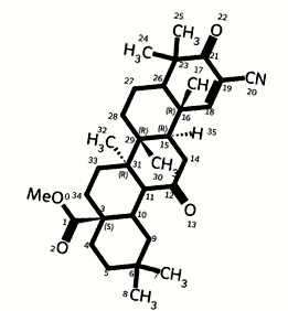 COC(=O)[C@]12CCC(C)(C)CC1C1C(=O)C[C@@H]3[C@@]4(C)C=C(C#N)C(=O)C(C)(C)C4CC[C@@]3(C)[C@]1(C)CC2